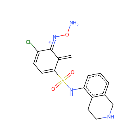 C=C1C(S(=O)(=O)Nc2cccc3c2CCNC3)=CC=C(Cl)/C1=N/ON